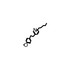 CCCCCc1ccc(CCc2ccc(OC)cc2)cn1